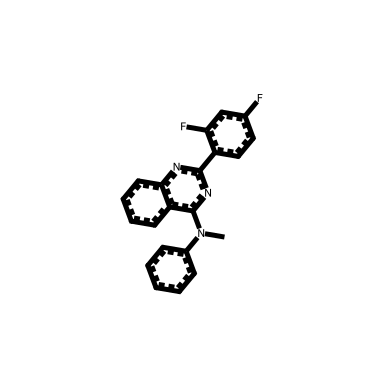 CN(c1ccccc1)c1nc(-c2ccc(F)cc2F)nc2ccccc12